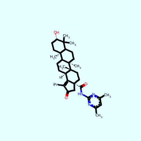 Cc1cc(C)nc(NC(=O)[C@@]23CC[C@]4(C)[C@H](CCC5[C@@]6(C)CC[C@H](O)C(C)(C)C6CC[C@]54C)C2=C(C(C)C)C(=O)C3)n1